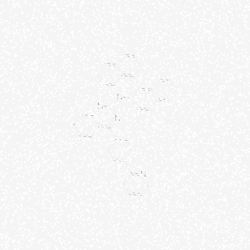 c1ccc(-c2ccc(-c3nc(N4c5ccc6ccccc6c5-c5cccc6cccc4c56)nc4ccccc34)cc2)nc1